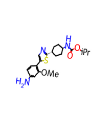 COc1cc(N)ccc1-c1cnc([C@H]2CC[C@H](NC(=O)OC(C)C)CC2)s1